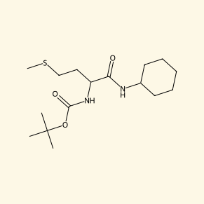 CSCCC(NC(=O)OC(C)(C)C)C(=O)NC1CCCCC1